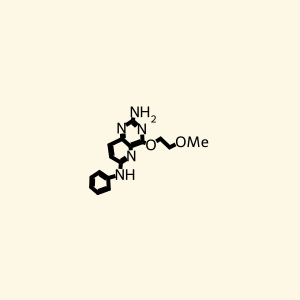 COCCOc1nc(N)nc2ccc(Nc3ccccc3)nc12